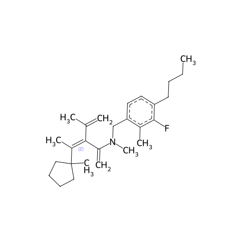 C=C(C)/C(C(=C)N(C)Cc1ccc(CCCC)c(F)c1C)=C(\C)C1(C)CCCC1